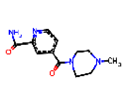 CN1CCN(C(=O)c2ccnc(C(N)=O)c2)CC1